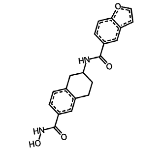 O=C(NO)c1ccc2c(c1)CCC(NC(=O)c1ccc3occc3c1)C2